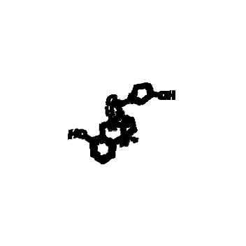 CC1(C)[C@H]2Cc3c(O)cccc3[C@]1(C)CCN2C(=O)N1CCC(O)C1